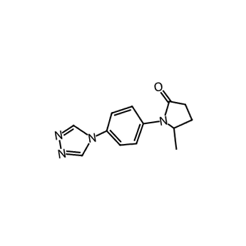 CC1CCC(=O)N1c1ccc(-n2cnnc2)cc1